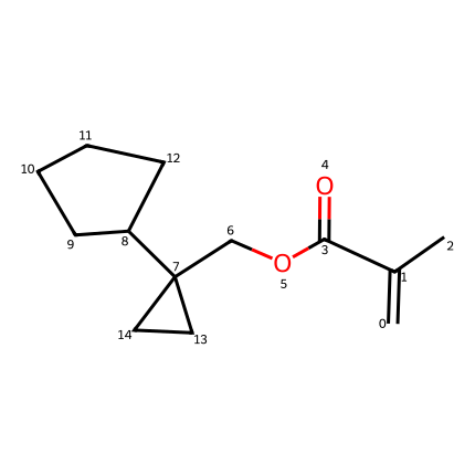 C=C(C)C(=O)OCC1(C2CCCC2)CC1